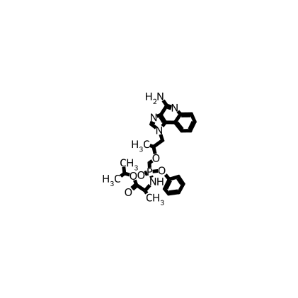 CC(C)OC(=O)C(C)NP(=O)(COC(C)Cn1cnc2c(N)nc3ccccc3c21)Oc1ccccc1